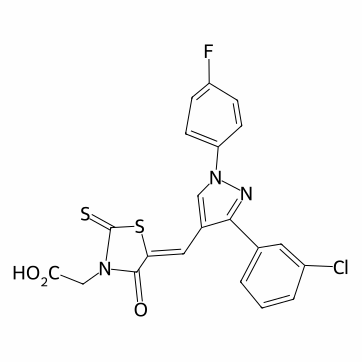 O=C(O)CN1C(=O)C(=Cc2cn(-c3ccc(F)cc3)nc2-c2cccc(Cl)c2)SC1=S